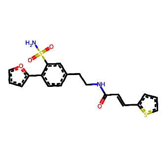 NS(=O)(=O)c1cc(CCNC(=O)/C=C/c2cccs2)ccc1-c1ccco1